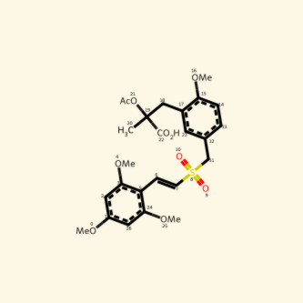 COc1cc(OC)c(C=CS(=O)(=O)Cc2ccc(OC)c(CC(C)(OC(C)=O)C(=O)O)c2)c(OC)c1